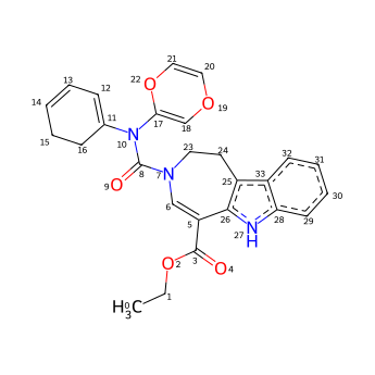 CCOC(=O)C1=CN(C(=O)N(C2=CC=CCC2)C2=COC=CO2)CCc2c1[nH]c1ccccc21